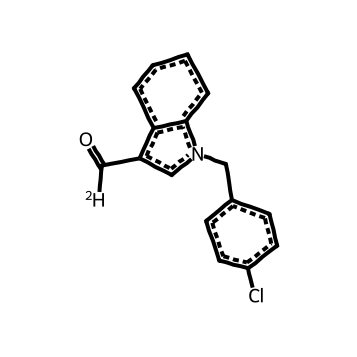 [2H]C(=O)c1cn(Cc2ccc(Cl)cc2)c2ccccc12